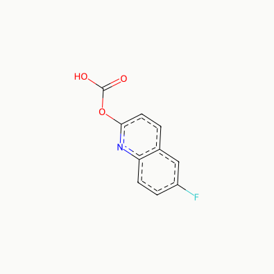 O=C(O)Oc1ccc2cc(F)ccc2n1